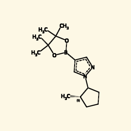 C[C@H]1CCCC1n1cc(B2OC(C)(C)C(C)(C)O2)cn1